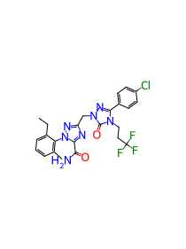 CCc1cccc(C)c1-n1nc(Cn2nc(-c3ccc(Cl)cc3)n(CCC(F)(F)F)c2=O)nc1C(N)=O